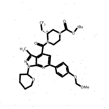 COCOc1ccc(-c2cc(C(=O)N3CCN(C(=O)OC(C)(C)C)C[C@H]3CC(F)(F)F)c3c(C)nn(C4CCCCO4)c3n2)cc1